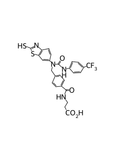 O=C(O)CCNC(=O)c1ccc(CN(C(=O)Nc2ccc(C(F)(F)F)cc2)c2ccc3nc(S)sc3c2)cc1